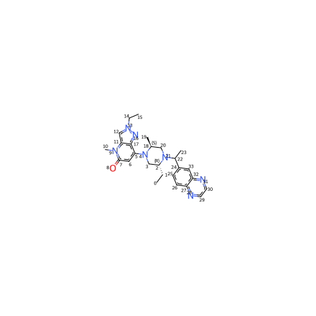 CC[C@@H]1CN(c2cc(=O)n(C)c3cn(CC)nc23)[C@@H](C)CN1C(C)c1ccc2nccnc2c1